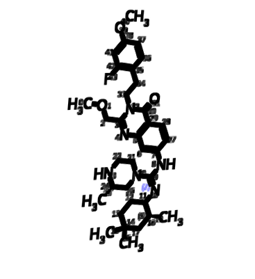 COCc1nc2cc(N/C(=N/C3CCC(C)(C)C[C@@H]3C)N3CCN[C@@H](C)C3)ccc2c(=O)n1CCc1ccc(OC)cc1F